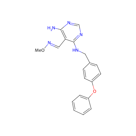 CO/N=C/c1c(N)ncnc1NCc1ccc(Oc2ccccc2)cc1